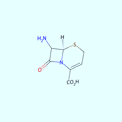 NC1C(=O)N2C(C(=O)O)=CCS[C@H]12